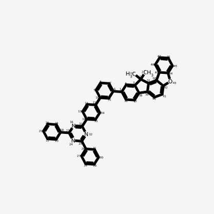 CC1(C)c2cc(-c3cccc(-c4ccc(-c5nc(-c6ccccc6)nc(-c6ccccc6)n5)cc4)c3)ccc2-c2ccc3oc4ccccc4c3c21